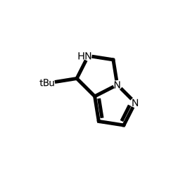 CC(C)(C)C1NCn2nccc21